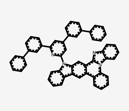 c1ccc(-c2cccc(-c3cc(-c4cccc(-c5ccccc5)c4)nc(-n4c5ccccc5c5cc6c7ccccc7n7c8ccccc8nc7c6cc54)c3)c2)cc1